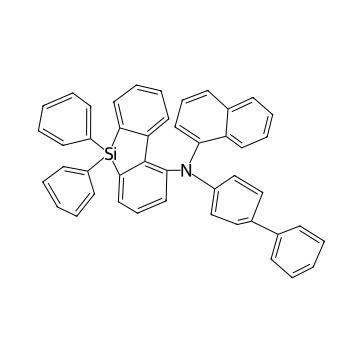 c1ccc(-c2ccc(N(c3cccc4c3-c3ccccc3[Si]4(c3ccccc3)c3ccccc3)c3cccc4ccccc34)cc2)cc1